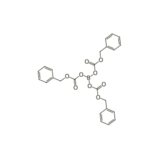 O=C(OCc1ccccc1)OB(OC(=O)OCc1ccccc1)OC(=O)OCc1ccccc1